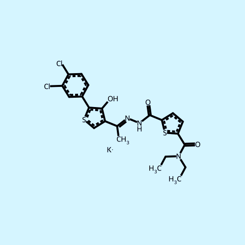 CCN(CC)C(=O)c1ccc(C(=O)NN=C(C)c2csc(-c3ccc(Cl)c(Cl)c3)c2O)s1.[K]